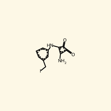 Nc1c(Nc2cccc(CI)c2)c(=O)c1=O